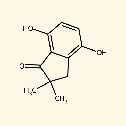 CC1(C)Cc2c(O)ccc(O)c2C1=O